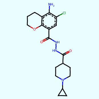 Nc1c(Cl)cc(C(=O)NNC(=O)C2CCN(C3CC3)CC2)c2c1CCCO2